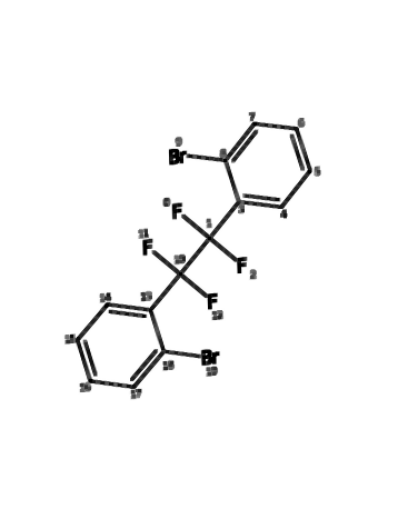 FC(F)(c1ccccc1Br)C(F)(F)c1ccccc1Br